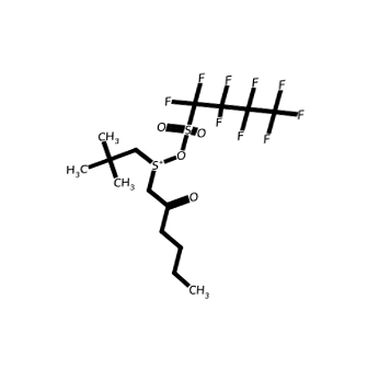 CCCCC(=O)C[S+](CC(C)(C)C)OS(=O)(=O)C(F)(F)C(F)(F)C(F)(F)C(F)(F)F